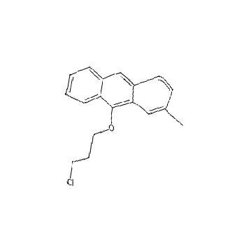 Cc1ccc2cc3ccccc3c(OCCCCl)c2c1